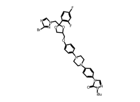 CCC(C)n1ncn(-c2ccc(N3CCN(c4ccc(OCC5COC(Cn6cnc(Br)n6)(c6ccc(F)cc6F)O5)cc4)CC3)cc2)c1=O